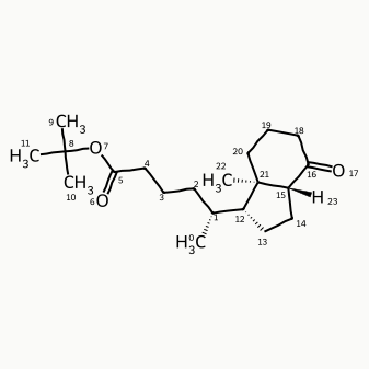 C[C@H](CCCC(=O)OC(C)(C)C)[C@H]1CC[C@H]2C(=O)CCC[C@]12C